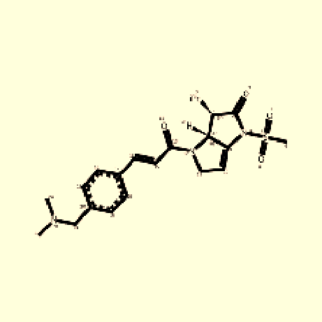 CC(C)[C@H]1C(=O)N(S(C)(=O)=O)C2=CCN(C(=O)C=Cc3ccc(CN(C)C)cc3)[C@@H]21